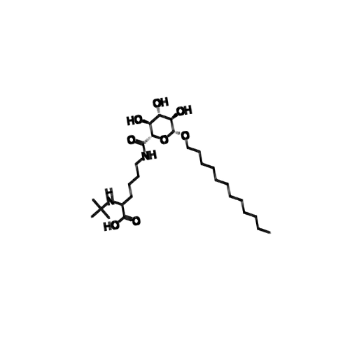 CCCCCCCCCCCCO[C@@H]1O[C@H](C(=O)NCCCCC(NC(C)(C)C)C(=O)O)[C@@H](O)[C@H](O)[C@H]1O